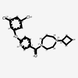 O=C(c1ccc(Oc2cc(Cl)cc(Cl)c2)nc1)N1CCCN(C2CCC2)CC1